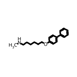 CNCCCCCCOc1ccc(-c2ccccc2)cc1